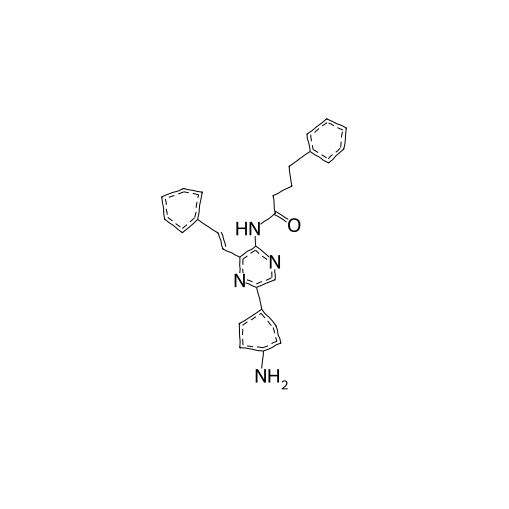 Nc1ccc(-c2cnc(NC(=O)CCCc3ccccc3)c(/C=C/c3ccccc3)n2)cc1